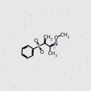 C=C(/C(C)=N\OC)S(=O)(=O)c1ccccc1